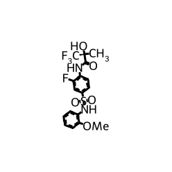 COc1ccccc1NS(=O)(=O)c1ccc(NC(=O)[C@@](C)(O)C(F)(F)F)c(F)c1